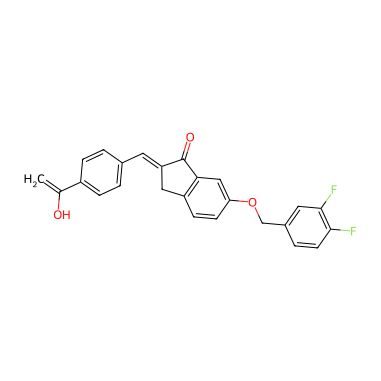 C=C(O)c1ccc(/C=C2\Cc3ccc(OCc4ccc(F)c(F)c4)cc3C2=O)cc1